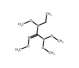 CCN(OC)C(=NOC)N(OC)OC